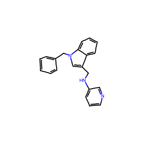 c1ccc(Cn2cc(CNc3cccnc3)c3ccccc32)cc1